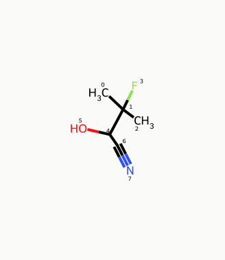 CC(C)(F)C(O)C#N